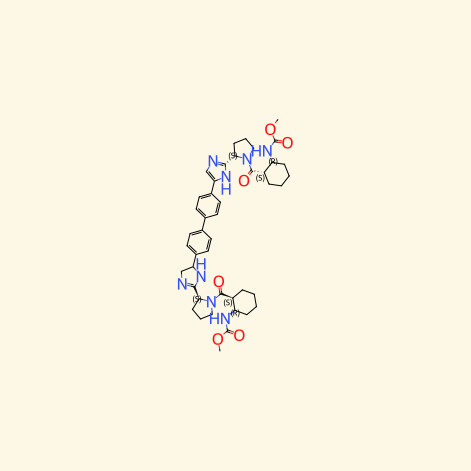 COC(=O)N[C@@H]1CCCC[C@@H]1C(=O)N1CCC[C@H]1C1=NCC(c2ccc(-c3ccc(-c4cnc([C@@H]5CCCN5C(=O)[C@H]5CCCC[C@H]5NC(=O)OC)[nH]4)cc3)cc2)N1